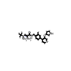 Cc1cc(-c2ccncc2OC2CCNC2)ccc1CNC(=O)/C(N)=C/N(N)C(C)(C)C